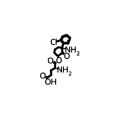 N[C@@H](CCC(=O)O)C(=O)O[C@@H]1CCC[C@](N)(c2ccccc2Cl)C1=O